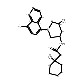 N#Cc1ccc(N2CC(NC(=O)CC3(N)CCCCC3)CC(C(F)(F)F)C2)c2cccnc12